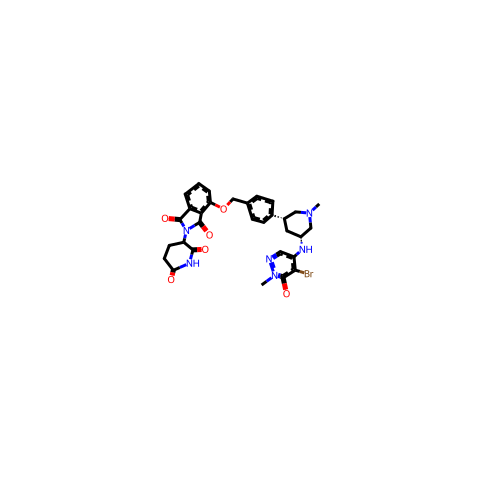 CN1C[C@H](Nc2cnn(C)c(=O)c2Br)C[C@H](c2ccc(COc3cccc4c3C(=O)N(C3CCC(=O)NC3=O)C4=O)cc2)C1